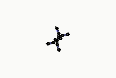 Cc1ccc(/C=C/c2ccc(N(c3ccc(/C=C/c4ccc(C)cc4)cc3)c3c(C)cc(-c4cc(C)c(N(c5ccc(/C=C/c6ccc(C)cc6)cc5)c5ccc(/C=C/c6ccc(C)cc6)cc5)c5ccccc45)c4ccccc34)cc2)cc1